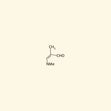 CN/C=C(/C)C=O